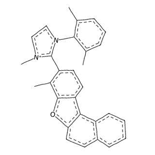 Cc1cccc(C)c1-n1cc[n+](C)c1-c1ccc2c(oc3ccc4ccccc4c32)c1C